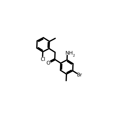 Cc1cc(C(=O)Cc2c(C)cccc2Cl)c(N)cc1Br